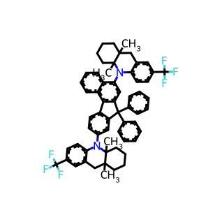 CC12CCCCC1(C)N(c1ccc3c(c1)C(c1ccccc1)(c1ccccc1)c1cc(N4c5ccc(C(F)(F)F)cc5CC5(C)CCCCC45C)c4ccccc4c1-3)c1ccc(C(F)(F)F)cc1C2